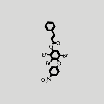 CCc1c(OC(=O)C=Cc2ccccc2)cc(Br)c(Oc2ccc([N+](=O)[O-])cc2)c1Br